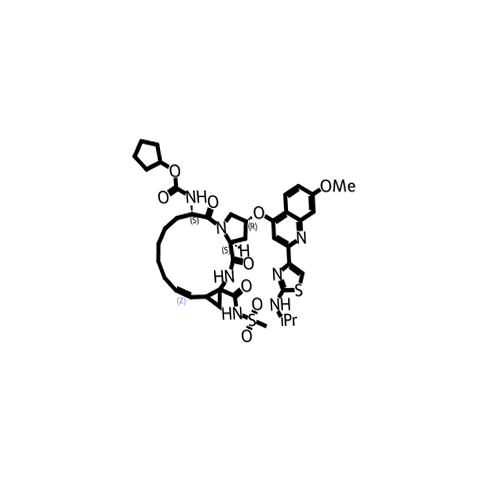 COc1ccc2c(O[C@@H]3C[C@H]4C(=O)NC5(C(=O)NS(C)(=O)=O)CC5/C=C\CCCCC[C@H](NC(=O)OC5CCCC5)C(=O)N4C3)cc(-c3csc(NC(C)C)n3)nc2c1